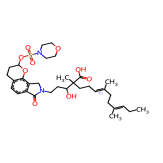 CCC=C(C)CC/C(C)=C/CCC(C)(C(=O)O)C(O)CCN1Cc2c(ccc3c2OC(OS(=O)(=O)N2CCOCC2)CC3)C1=O